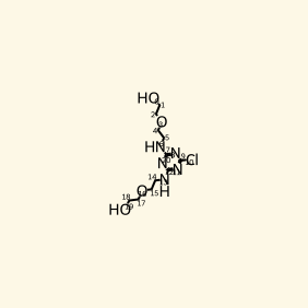 OCCOCCNc1nc(Cl)nc(NCCOCCO)n1